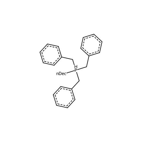 CCCCCCCCCC[PH](Cc1ccccc1)(Cc1ccccc1)Cc1ccccc1